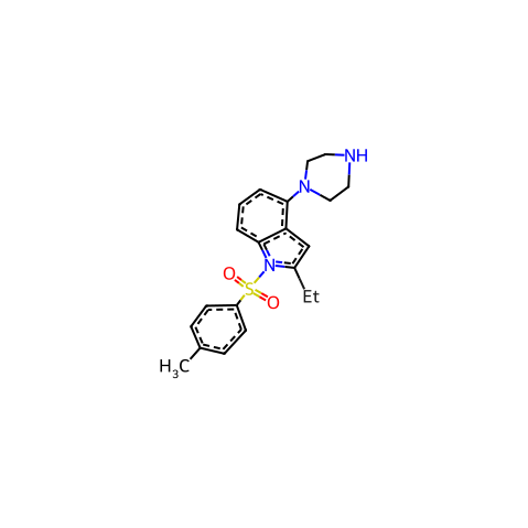 CCc1cc2c(N3CCNCC3)cccc2n1S(=O)(=O)c1ccc(C)cc1